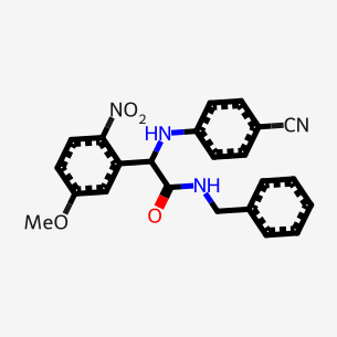 COc1ccc([N+](=O)[O-])c(C(Nc2ccc(C#N)cc2)C(=O)NCc2ccccc2)c1